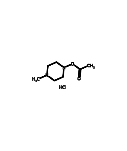 CC(=O)ON1CCN(C)CC1.Cl